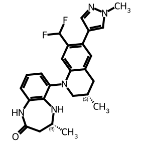 C[C@H]1Cc2cc(-c3cnn(C)c3)c(C(F)F)cc2N(c2cccc3c2N[C@H](C)CC(=O)N3)C1